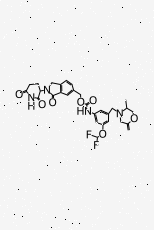 C=C1CN(Cc2cc(NC(=O)OCc3ccc4c(c3)C(=O)N(C3CCC(=O)NC3=O)C4)cc(OC(F)F)c2)C(C)CO1